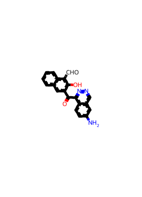 Nc1ccc2c(C(=O)c3cc4ccccc4c(C=O)c3O)nncc2c1